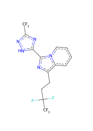 FC(F)(F)c1n[nH]c(-c2nc(CCC(F)(F)C(F)(F)F)c3ccccn23)n1